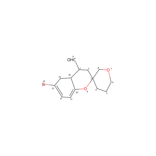 O=CC1CC2(CCCOC2)OC2=CC=C(Br)CC21